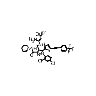 N/C(=C\[N+](=O)[O-])NCc1c(C(=O)NN2CCCCC2)nn(-c2ccc(Cl)cc2Cl)c1-c1ccc(C#Cc2ccc(C(F)(F)F)cc2)s1